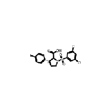 O=C(O)C1[C@@H](c2ccc(I)cc2)CCN1S(=O)(=O)c1cc(Cl)cc(Cl)c1